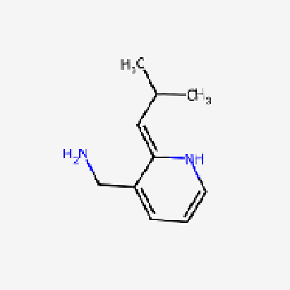 CC(C)C=C1NC=CC=C1CN